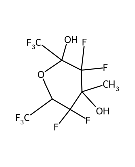 CC1(O)C(F)(F)C(C(F)(F)F)OC(O)(C(F)(F)F)C1(F)F